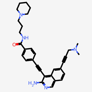 CN(C)CC#Cc1ccc2cnc(N)c(C#Cc3ccc(C(=O)NCCCN4CCCCC4)cc3)c2c1